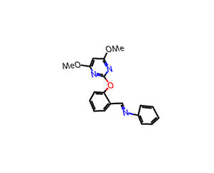 COc1cc(OC)nc(Oc2ccccc2C=Nc2ccccc2)n1